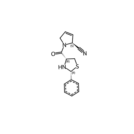 N#C[C@@H]1C=CCN1C(=O)[C@@H]1CS[C@H](c2ccccc2)N1